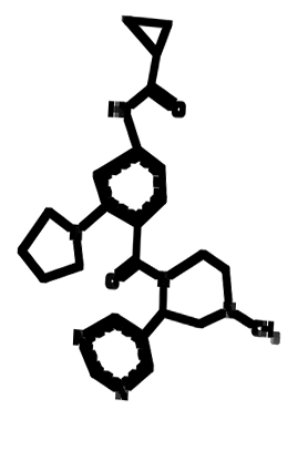 CN1CCN(C(=O)c2ccc(NC(=O)C3CC3)cc2N2CCCC2)C(c2cncnc2)C1